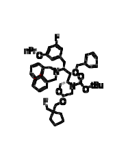 CCCOc1cc(F)cc(C[C@@H]([C@H](OCc2ccccc2)[C@H]2CO[C@@H](OCC3(CF)CCCC3)CN2C(=O)OC(C)(C)C)N(Cc2ccccc2)Cc2ccccc2)c1